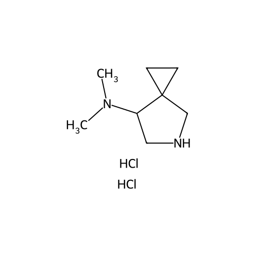 CN(C)C1CNCC12CC2.Cl.Cl